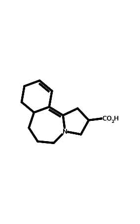 O=C(O)C1CC2=C3C=CCCC3CCCN2C1